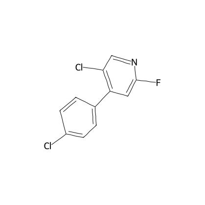 Fc1cc(-c2ccc(Cl)cc2)c(Cl)cn1